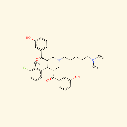 Cc1c(F)cccc1C1[C@@H](C(=O)c2cccc(O)c2)CN(CCCCCN(C)C)C[C@@H]1C(=O)c1cccc(O)c1